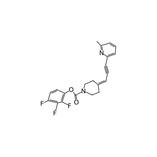 Cc1cccc(C#CC=C2CCN(C(=O)Oc3ccc(F)c(F)c3F)CC2)n1